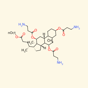 CCCCCCCCOC(=O)CC[C@@H](C)[C@H]1CC[C@H]2C3[C@H](OC(=O)CCN)CC4C[C@H](OC(=O)CCN)CC[C@]4(C)[C@H]3C[C@H](OC(=O)CCN)[C@]12C